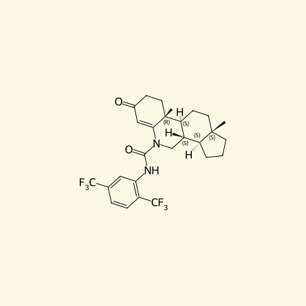 C[C@@]12CCC[C@H]1[C@@H]1CN(C(=O)Nc3cc(C(F)(F)F)ccc3C(F)(F)F)C3=CC(=O)CC[C@]3(C)[C@H]1CC2